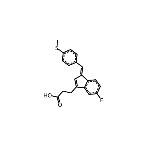 CSc1ccc(C=C2C=C(CCC(=O)O)c3cc(F)ccc32)cc1